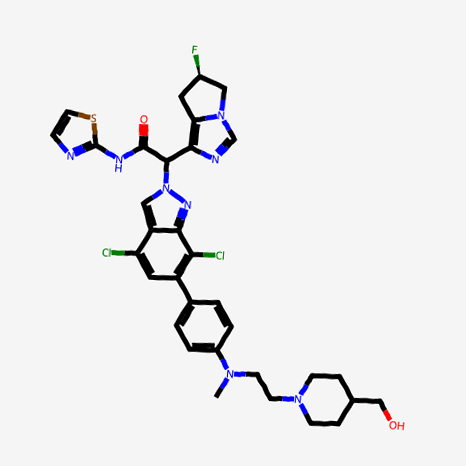 CN(CCN1CCC(CO)CC1)c1ccc(-c2cc(Cl)c3cn(C(C(=O)Nc4nccs4)c4ncn5c4C[C@@H](F)C5)nc3c2Cl)cc1